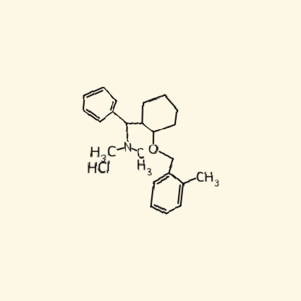 Cc1ccccc1COC1CCCCC1C(c1ccccc1)N(C)C.Cl